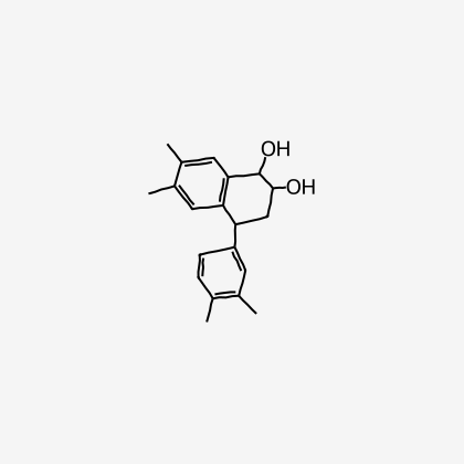 Cc1ccc(C2CC(O)C(O)c3cc(C)c(C)cc32)cc1C